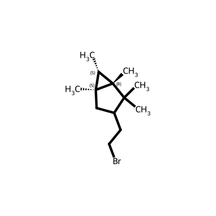 C[C@H]1[C@]2(C)CC(CCBr)C(C)(C)[C@@]12C